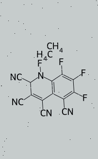 C.C.N#CC1=C(C#N)C(C#N)N(F)c2c(F)c(F)c(F)c(C#N)c21